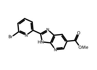 COC(=O)c1cnc2[nH]c(-c3cccc(Br)n3)nc2c1